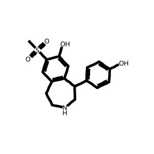 CS(=O)(=O)c1cc2c(cc1O)C(c1ccc(O)cc1)CNCC2